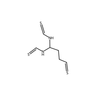 S=CCCC(NC=S)NC=S